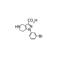 O=C(O)c1nn(-c2cccc(Br)c2)c2c1CNCC2